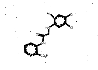 CC(=O)c1cc(Cl)c(Cl)cc1NCC(=O)Nc1ccccc1C(=O)O